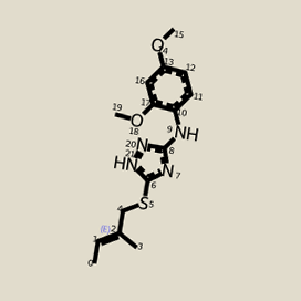 C/C=C(\C)CSc1nc(Nc2ccc(OC)cc2OC)n[nH]1